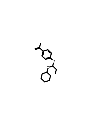 C=C(C)c1ccc(OC(CC)OC2CCCCC2)cc1